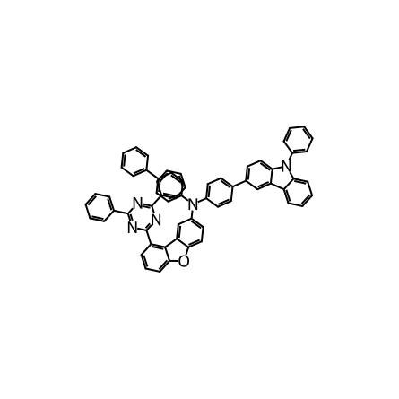 c1ccc(-c2ccc(N(c3ccc(-c4ccc5c(c4)c4ccccc4n5-c4ccccc4)cc3)c3ccc4oc5cccc(-c6nc(-c7ccccc7)nc(-c7ccccc7)n6)c5c4c3)cc2)cc1